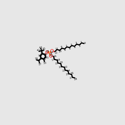 CCCCCCCCCCCCCOP(OCCCCCCCCCCCCC)Oc1cc(C)c(C(C)C)cc1C(C)(C)C